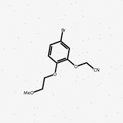 COCCOc1ccc(Br)cc1OCC#N